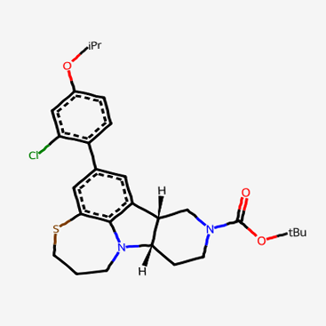 CC(C)Oc1ccc(-c2cc3c4c(c2)[C@@H]2CN(C(=O)OC(C)(C)C)CC[C@@H]2N4CCCS3)c(Cl)c1